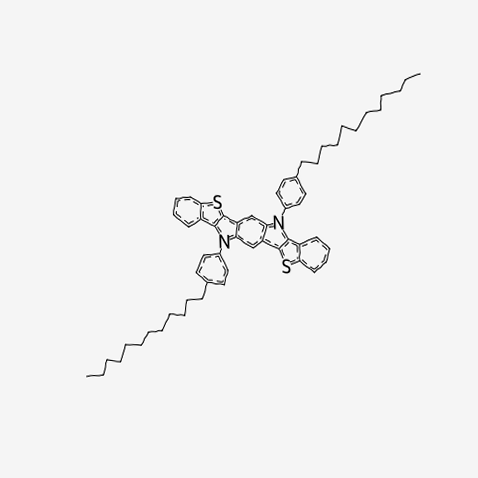 CCCCCCCCCCCCc1ccc(-n2c3cc4c5sc6ccccc6c5n(-c5ccc(CCCCCCCCCCCC)cc5)c4cc3c3sc4ccccc4c32)cc1